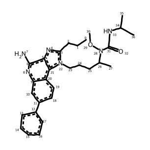 CCCc1nc2c(N)nc3cc(-c4ccccc4)ccc3c2n1CCCC(C)N(OC)C(=O)NC(C)C